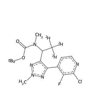 [2H]C([2H])([2H])C(c1nn(C)nc1-c1ccnc(Cl)c1F)N(C)C(=O)OC(C)(C)C